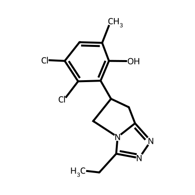 CCc1nnc2n1CC(c1c(O)c(C)cc(Cl)c1Cl)C2